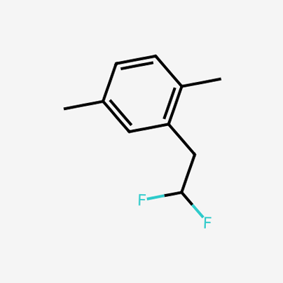 Cc1ccc(C)c(CC(F)F)c1